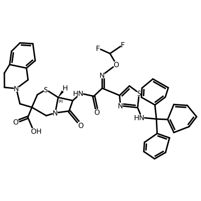 O=C(NC1C(=O)N2CC(CN3CCc4ccccc4C3)(C(=O)O)CS[C@H]12)C(=NOC(F)F)c1csc(NC(c2ccccc2)(c2ccccc2)c2ccccc2)n1